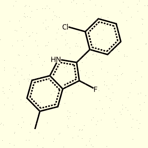 Cc1ccc2[nH]c(-c3ccccc3Cl)c(F)c2c1